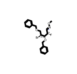 CO/N=C/[C@H](F)[C@H](OCc1ccccc1)[C@@H](Br)COCc1ccccc1